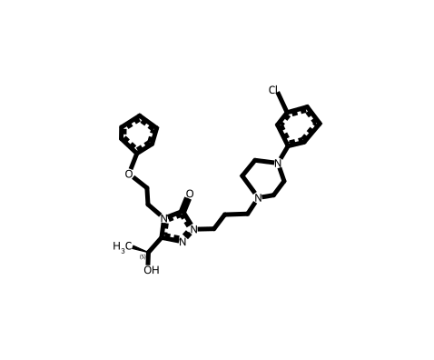 C[C@H](O)c1nn(CCCN2CCN(c3cccc(Cl)c3)CC2)c(=O)n1CCOc1ccccc1